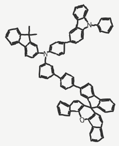 CC1(C)c2ccccc2-c2ccc(N(c3ccc(-c4ccc5c(c4)c4ccccc4n5-c4ccccc4)cc3)c3cccc(-c4ccc(-c5ccc6c(c5)C5(c7ccccc7-6)c6ccc7ccccc7c6Oc6c5ccc5ccccc65)cc4)c3)cc21